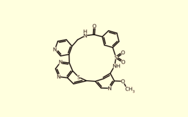 COc1ncc2cc1NS(=O)(=O)c1cccc(c1)C(=O)NCc1ccncc1-c1ncnc3cc-2sc13